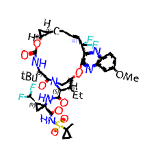 CC[C@@H]1[C@@H]2CN(C(=O)[C@H](C(C)(C)C)NC(=O)O[C@@H]3C[C@H]3CC/C=C/C(F)(F)c3nc4ccc(OC)cc4nc3O2)[C@@H]1C(=O)NC1(C(=O)NS(=O)(=O)C2(C)CC2)C[C@H]1C(F)F